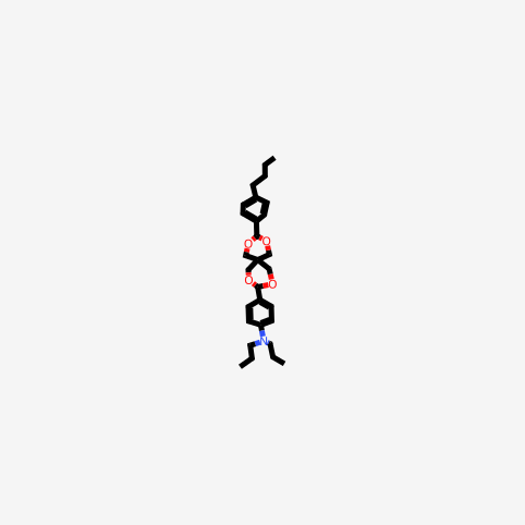 CCCCc1ccc(C2OCC3(CO2)COC(c2ccc(N(CCC)CCC)cc2)OC3)cc1